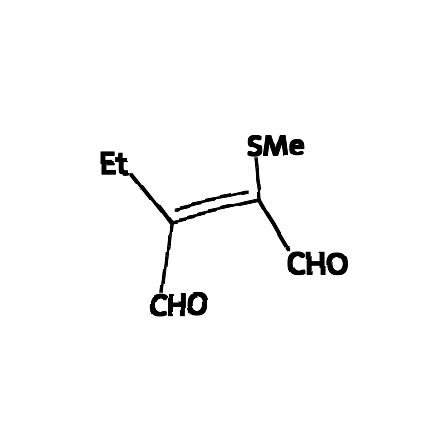 CC/C(C=O)=C(/C=O)SC